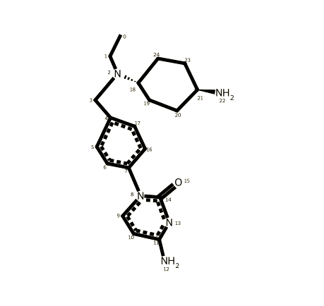 CCN(Cc1ccc(-n2ccc(N)nc2=O)cc1)[C@H]1CC[C@H](N)CC1